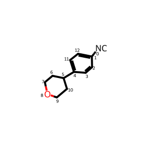 [C-]#[N+]c1ccc(C2CCOCC2)cc1